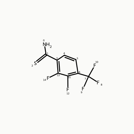 NC(=S)c1ccc(C(F)(F)F)c(F)c1F